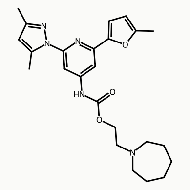 Cc1cc(C)n(-c2cc(NC(=O)OCCN3CCCCCC3)cc(-c3ccc(C)o3)n2)n1